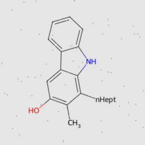 CCCCCCCc1c(C)c(O)cc2c1[nH]c1ccccc12